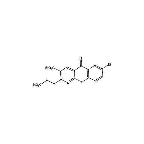 CCOC(=O)CCc1nc2oc3ccc(CC)cc3c(=O)c2cc1C(=O)OCC